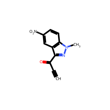 C#CC(=O)c1nn(C)c2ccc([N+](=O)[O-])cc12